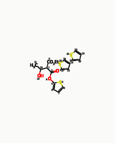 CCOC(=O)C(C(=O)Oc1cccs1)C(C)O.c1ccsc1.c1ccsc1